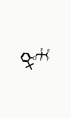 CC(C)(C)c1ccccc1OCC(F)(F)C(F)F